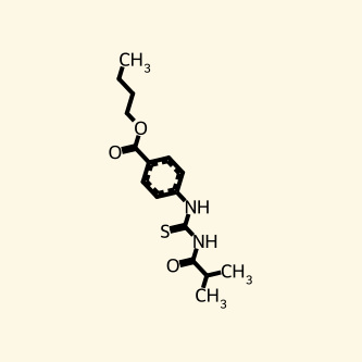 CCCCOC(=O)c1ccc(NC(=S)NC(=O)C(C)C)cc1